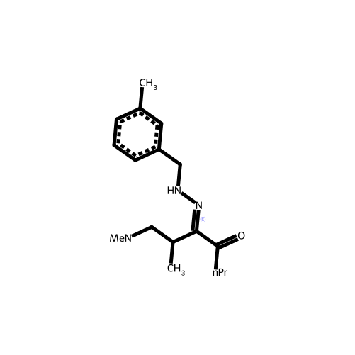 CCCC(=O)/C(=N/NCc1cccc(C)c1)C(C)CNC